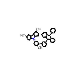 N#Cc1ccc2c(c1)c1cc(C#N)ccc1n2-c1ccc(C#N)c(-c2cccc(-c3c4ccccc4c(-c4ccccc4)c4ccccc34)c2)c1